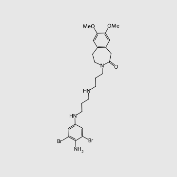 COc1cc2c(cc1OC)CC(=O)N(CCCNCCCNc1cc(Br)c(N)c(Br)c1)CC2